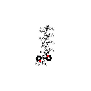 C[SiH](O[SiH](C)O[SiH](C)O[SiH](C)O[Si](C)(C)O[Si](O[Si](C)(C)C)(c1ccccc1)c1ccccc1)O[SiH](C)O[SiH](C)O[Si](C)(C)C